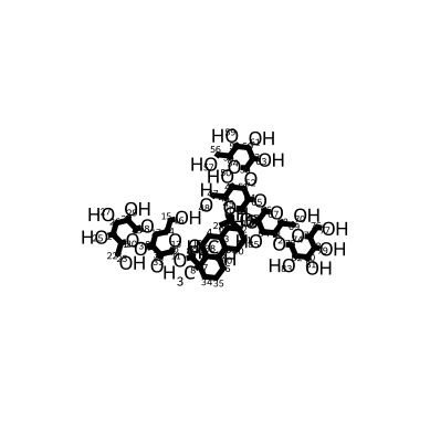 C=C1C[C@@]23CC[C@@H]4C(C)(C(=O)OC5OC(CO)C(OC6OC(CO)C(O)C(O)C6O)C(=O)C5=O)CCC[C@@]4(C)[C@@H]2CC[C@]1(OC1OC(CO)C(O)C(OC2OC(CO)C(O)C(O)C2O)C1OC1OC(CO)C(OC2OC(CO)C(O)C(O)C2O)C(O)C1O)C3